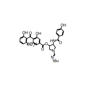 CC(C)(C)/N=C/N1CC(NC(=O)c2ccc(O)cc2)C(OC(=O)c2cc(O)c(C(=O)c3c(O)cccc3C(=O)O)c(O)c2)C1